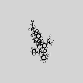 CCCN(CC)c1ccc(CN(Cc2ccco2)C(=O)c2ccccc2Cl)c(N(CC)S(=O)(=O)c2ccc3oc(C(=O)OCC)c(C)c3c2CC)c1